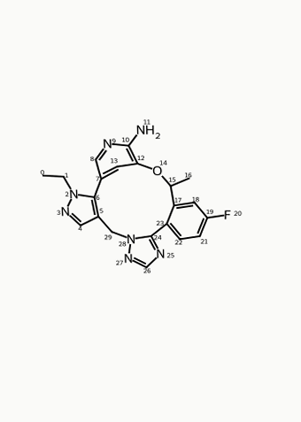 CCn1ncc2c1-c1cnc(N)c(c1)OC(C)c1cc(F)ccc1-c1ncnn1C2